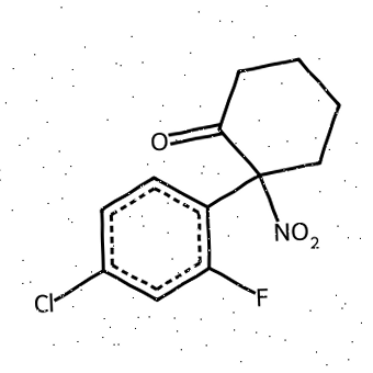 O=C1CCCCC1(c1ccc(Cl)cc1F)[N+](=O)[O-]